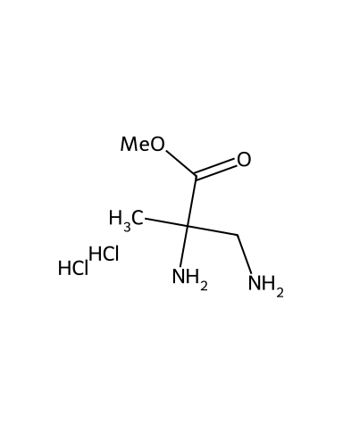 COC(=O)C(C)(N)CN.Cl.Cl